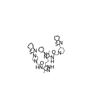 Cc1n[nH]c(CCc2nn(-c3ccccc3)c(C)c2NC(=O)CN2CCCC(c3nc4ccccc4s3)C2)c1NC(=O)CN1CCN(c2nc3ccccc3s2)CC1